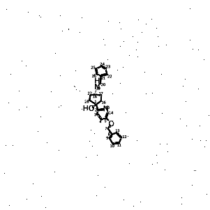 O[C@]1(c2ccc(OCc3ccccc3)cn2)CC[C@@H](NCc2ccccc2)CC1